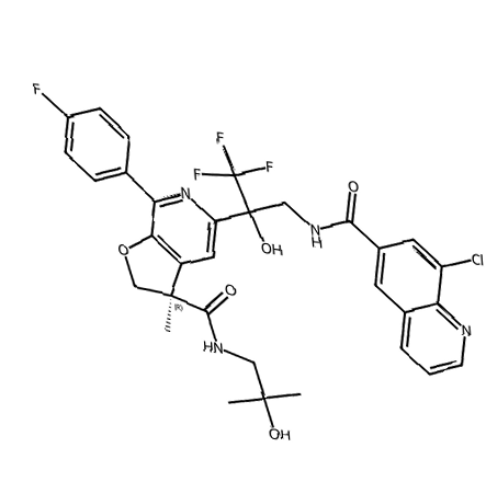 CC(C)(O)CNC(=O)[C@@]1(C)COc2c1cc(C(O)(CNC(=O)c1cc(Cl)c3ncccc3c1)C(F)(F)F)nc2-c1ccc(F)cc1